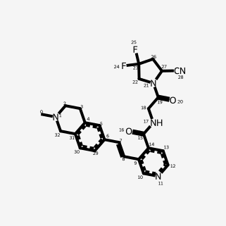 CN1CCc2cc(C=Cc3cnccc3C(=O)NCC(=O)N3CC(F)(F)CC3C#N)ccc2C1